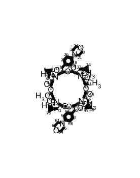 C[C@H]1OC(=O)[C@H](CC2CC2)N(C)C(=O)[C@@H](Cc2ccc(N3CCOCC3)cc2)OC(=O)[C@H](CC2CC2)N(C)C(=O)[C@@H](C)OC(=O)[C@H](CC2CC2)N(C)C(=O)[C@@H](Cc2ccc(N3CCOCC3)cc2)OC[C@H](CC2CC2)N(C)C1=O